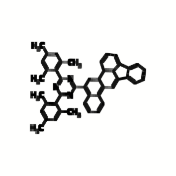 Cc1cc(C)c(-c2nc(-c3c(C)cc(C)cc3C)nc(-c3cc4c5cccc6c5c(cc4c4ccccc34)-c3ccccc3-6)n2)c(C)c1